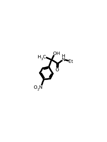 CCNC(=O)C(C)(O)c1ccc([N+](=O)[O-])cc1